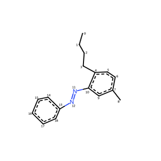 CCCCc1ccc(C)cc1N=Nc1ccccc1